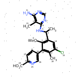 COc1c(C(C)Nc2ncnc(N)c2C)cc(Cl)c(C)c1-c1ccc(C(=O)O)nc1